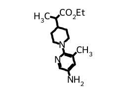 CCOC(=O)C(C)C1CCN(c2ncc(N)cc2C)CC1